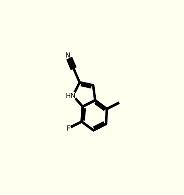 Cc1ccc(F)c2[nH]c(C#N)cc12